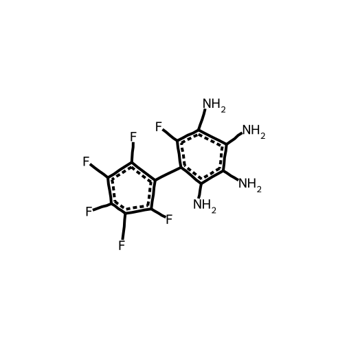 Nc1c(N)c(N)c(-c2c(F)c(F)c(F)c(F)c2F)c(F)c1N